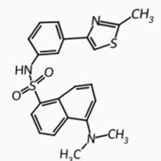 Cc1nc(-c2cccc(NS(=O)(=O)c3cccc4c(N(C)C)cccc34)c2)cs1